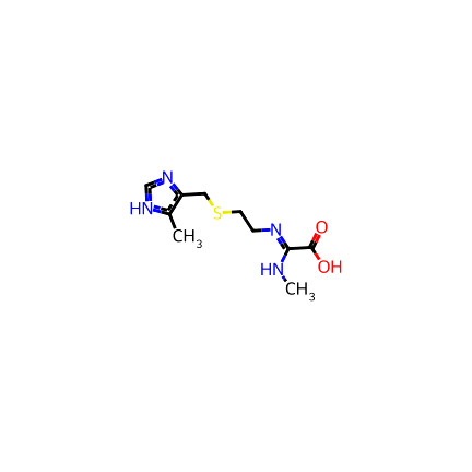 CN/C(=N\CCSCc1nc[nH]c1C)C(=O)O